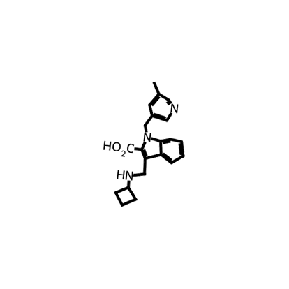 Cc1cncc(Cn2c(C(=O)O)c(CNC3CCC3)c3ccccc32)c1